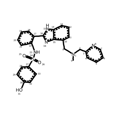 CN(Cc1ccccn1)Cc1cccc2[nH]c(-c3ccccc3NS(=O)(=O)c3ccc(O)cc3)nc12